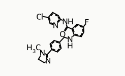 CN1CCN=C1c1ccc(CNc2ccc(F)cc2C(=O)Nc2ccc(Cl)cn2)cc1